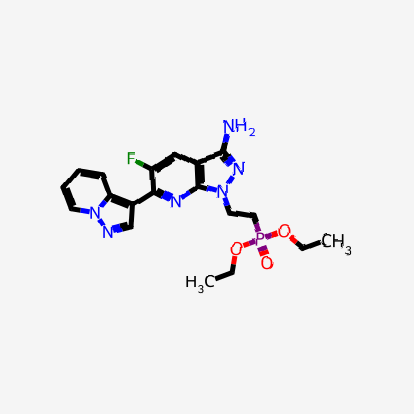 CCOP(=O)(CCn1nc(N)c2cc(F)c(-c3cnn4ccccc34)nc21)OCC